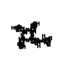 O=S(=O)(O)c1ccc2c(c1)/C1=N/c3[nH]c(c4cc(S(=O)(=O)O)ccc34)/N=C3\NC(/N=c4\[nH]/c(c5cc(S(=O)(=O)O)ccc45)=N\C2=N1)c1cc(S(=O)(=O)NCCNc2nc(Cl)nc(Cl)n2)ccc13